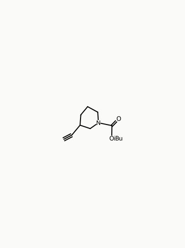 C#CC1CCCN(C(=O)OCC(C)C)C1